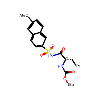 COc1ccc2cc(S(=O)(=O)NC(=O)[C@H](CC(C)C)NC(=O)OC(C)(C)C)ccc2c1